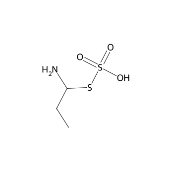 CCC(N)SS(=O)(=O)O